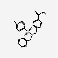 NC(=O)c1ccc(CN(Cc2ccccn2)S(=O)(=O)c2ccc(Cl)cc2)cc1